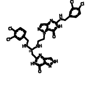 O=c1[nH]c(C[C@H](NCCn2ncc3nc(NCc4ccc(Cl)c(Cl)c4)[nH]c(=O)c32)NCc2ccc(Cl)c(Cl)c2)nc2c[nH]nc12